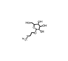 CSCCOC1OC(CO)[C@@H](O)C(O)C1O